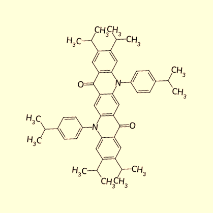 CC(C)c1ccc(-n2c3cc(C(C)C)c(C(C)C)cc3c(=O)c3cc4c(cc32)c(=O)c2cc(C(C)C)c(C(C)C)cc2n4-c2ccc(C(C)C)cc2)cc1